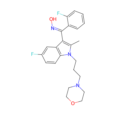 Cc1c(C(=NO)c2ccccc2F)c2cc(F)ccc2n1CCCN1CCOCC1